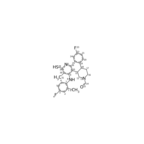 Cc1cc(F)ccc1Nc1c(C2CN(C=O)CCC2c2ccc(F)cc2)cnc(S)c1C